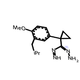 COc1ccc(C2(/C(N=N)=N/N)CC2)cc1CC(C)C